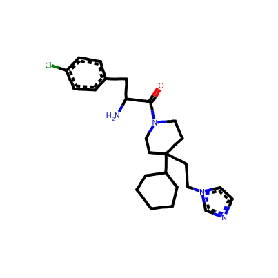 NC(Cc1ccc(Cl)cc1)C(=O)N1CCC(CCn2ccnc2)(C2CCCCC2)CC1